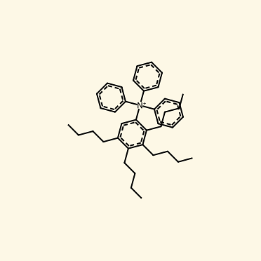 CCCCc1cc([N+](c2ccccc2)(c2ccccc2)c2ccccc2)c(CCCC)c(CCCC)c1CCCC